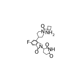 NC1(C(=O)N2CCC(c3cc(F)cc4c3CN(C3CCC(=O)NC3=O)C4=O)CC2)CCC1